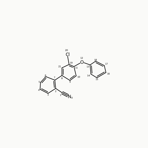 N#Cc1ccc[c]c1-c1ccc(Oc2ccccc2)c(Cl)c1